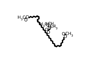 CC(=O)OCCCCC/C=C\C/C=C\CCCCCCCCC(CCCCCCCC/C=C\C/C=C\CCCCCOC(C)=O)OC(=O)CN(C)CN(C)C